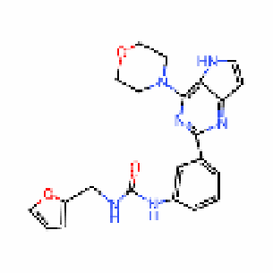 O=C(NCc1ccco1)Nc1cccc(-c2nc(N3CCOCC3)c3[nH]ccc3n2)c1